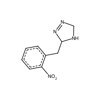 O=[N+]([O-])c1ccccc1CC1N=NCN1